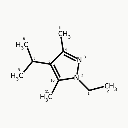 CCn1nc(C)c(C(C)C)c1C